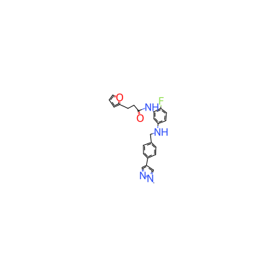 Cn1cc(-c2ccc(CNc3ccc(F)c(NC(=O)CCc4ccco4)c3)cc2)cn1